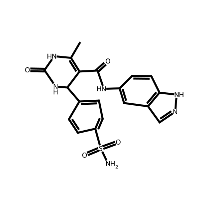 CC1=C(C(=O)Nc2ccc3[nH]ncc3c2)C(c2ccc(S(N)(=O)=O)cc2)NC(=O)N1